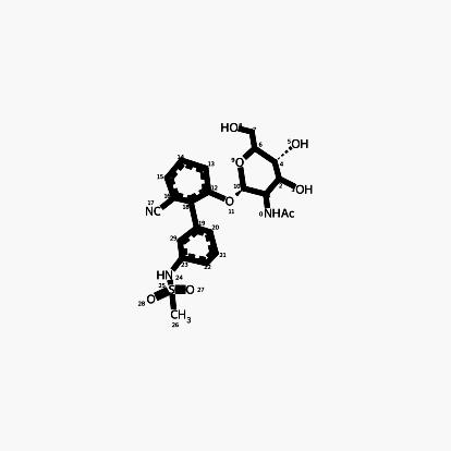 CC(=O)NC1C(O)[C@@H](O)C(CO)O[C@H]1Oc1cccc(C#N)c1-c1cccc(NS(C)(=O)=O)c1